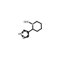 O=CN1CCCCC1c1cn[nH]c1